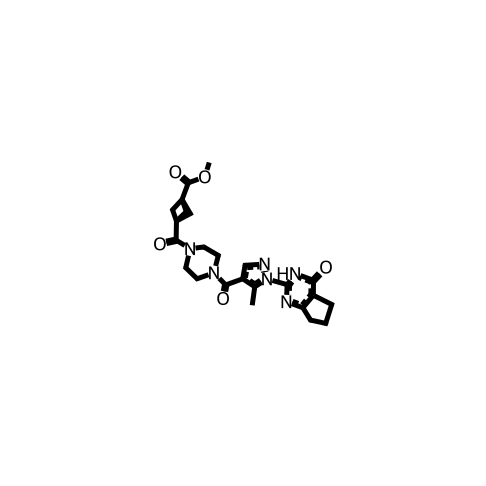 COC(=O)C12CC(C(=O)N3CCN(C(=O)c4cnn(-c5nc6c(c(=O)[nH]5)CCC6)c4C)CC3)(C1)C2